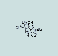 CCCCn1c(=O)c(C2=NS(O)(O)c3ccc(Cl)cc3N2)c(O)c2cccnc21